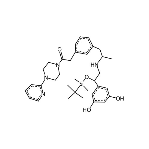 CC(Cc1cccc(CC(=O)N2CCN(c3ccccn3)CC2)c1)NCC(O[Si](C)(C)C(C)(C)C)c1cc(O)cc(O)c1